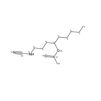 CCCCCC(CCCNC#N)OC(C)=O